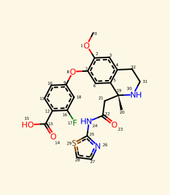 COc1cc2c(cc1Oc1ccc(C(=O)O)c(F)c1)[C@@](C)(CC(=O)Nc1nccs1)NCC2